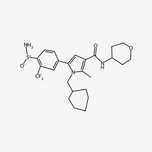 Cc1c(C(=O)NC2CCOCC2)cc(-c2ccc([S+](N)[O-])c(C(F)(F)F)c2)n1CC1CCCCC1